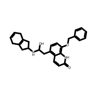 O=c1ccc2c(CC(O)NC3CC4=C(CC=CC4)C3)ccc(OCc3ccccc3)c2[nH]1